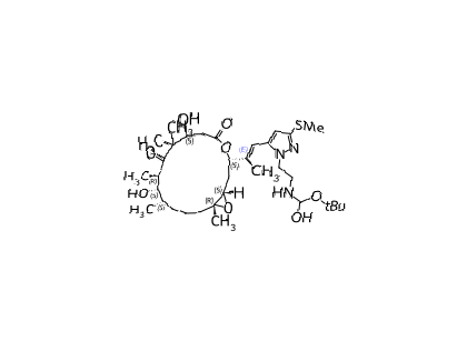 CSc1cc(/C=C(\C)[C@@H]2C[C@@H]3O[C@]3(C)CCC[C@H](C)[C@H](O)[C@@H](C)C(=O)C(C)(C)[C@@H](O)CC(=O)O2)n(CCNC(O)OC(C)(C)C)n1